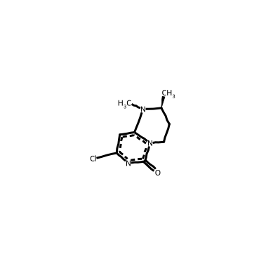 C[C@H]1CCn2c(cc(Cl)nc2=O)N1C